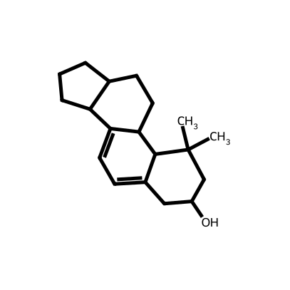 CC1(C)CC(O)CC2=CC=C3C4CCCC4CCC3C21